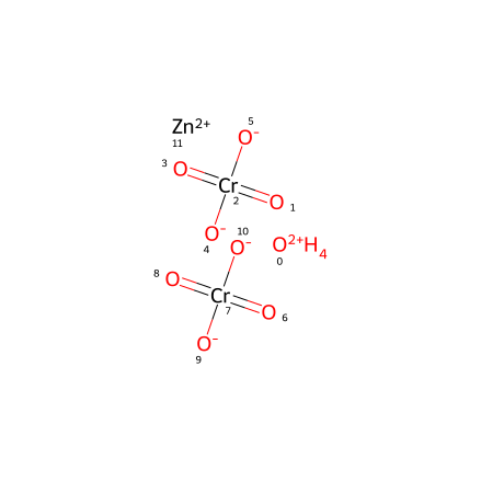 [OH4+2].[O]=[Cr](=[O])([O-])[O-].[O]=[Cr](=[O])([O-])[O-].[Zn+2]